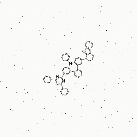 c1ccc(-c2nc(-c3ccccc3)nc(-c3ccc4c(c3)-c3ccccc3-c3cc(-c5cccc6c5oc5ccccc56)ccc3N4c3ccccc3)n2)cc1